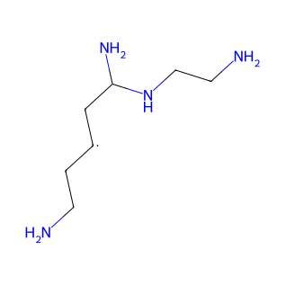 NCC[CH]CC(N)NCCN